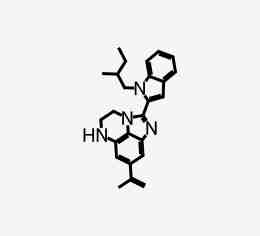 C=C(C)c1cc2c3c(c1)nc(-c1cc4ccccc4n1CC(C)CC)n3CCN2